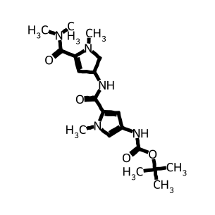 CN(C)C(=O)C1=CC(NC(=O)c2cc(NC(=O)OC(C)(C)C)cn2C)CN1C